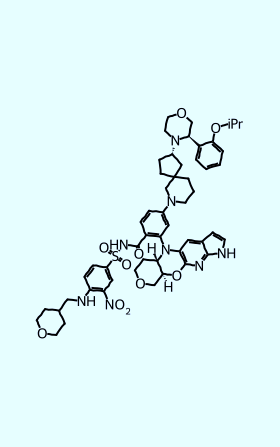 CC(C)Oc1ccccc1[C@@H]1COCCN1[C@H]1CCC2(CCCN(c3ccc(C(=O)NS(=O)(=O)c4ccc(NCC5CCOCC5)c([N+](=O)[O-])c4)c(N4c5cc6cc[nH]c6nc5O[C@H]5COCC[C@@H]54)c3)C2)C1